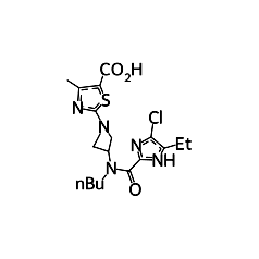 CCCCN(C(=O)c1nc(Cl)c(CC)[nH]1)C1CN(c2nc(C)c(C(=O)O)s2)C1